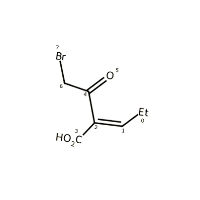 CCC=C(C(=O)O)C(=O)CBr